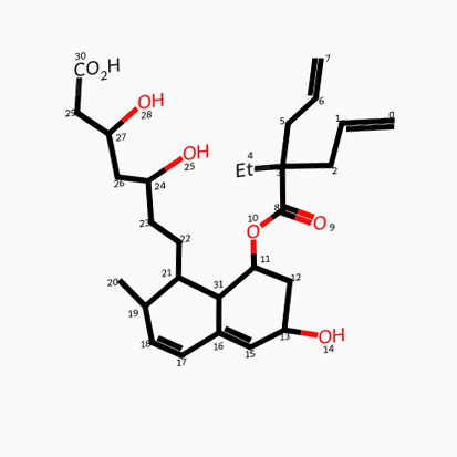 C=CCC(CC)(CC=C)C(=O)OC1CC(O)C=C2C=CC(C)C(CCC(O)CC(O)CC(=O)O)C21